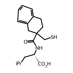 CC(C)C[C@H](NC(=O)C1(CS)CCc2ccccc2C1)C(=O)O